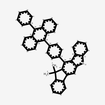 CC1(C)c2ccccc2-c2cc3sc4ccccc4c3c(-c3ccc(-c4c5ccccc5c(-c5ccccc5)c5ccccc45)cc3)c21